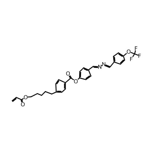 C=CC(=O)OCCCCCc1ccc(C(=O)Oc2ccc(/C=N/N=C/c3ccc(OC(F)(F)F)cc3)cc2)cc1